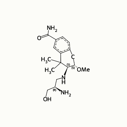 CO[C@H]1Cc2ccc(C(N)=O)cc2C(C)(C)[C@@H]1NC[C@@H](N)CO